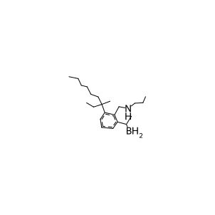 BC(C)c1cccc(C(C)(CC)CCCCCC)c1CNCCC